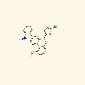 CNc1ccccc1-c1ccc2c(c1)C(c1ccc(Br)s1)Oc1cccc(OC)c1-2